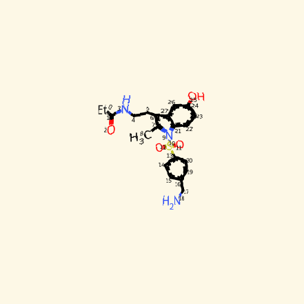 CCC(=O)NCCc1c(C)n(S(=O)(=O)c2ccc(CN)cc2)c2ccc(O)cc12